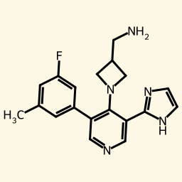 Cc1cc(F)cc(-c2cncc(-c3ncc[nH]3)c2N2CC(CN)C2)c1